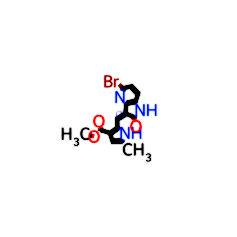 COC(=O)c1cc(C)[nH]c1/C=C1\C(=O)Nc2ccc(Br)nc21